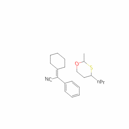 CCCC1CCOC(C)S1.N#CC(=C1CCCCC1)c1ccccc1